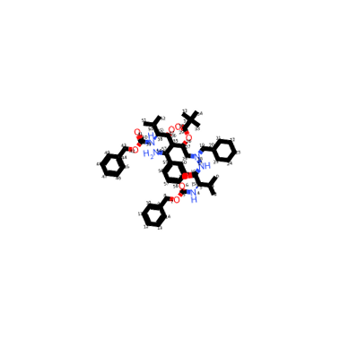 CC(C)[C@H](NC(=O)OCc1ccccc1)C(=O)NN(CC1CCCCC1)CC(OC(=O)C(C)(C)C)C(C(=O)[C@@H](NC(=O)OCc1ccccc1)C(C)C)C(N)c1ccccc1